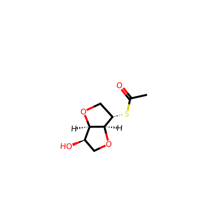 CC(=O)S[C@H]1CO[C@H]2[C@@H]1OC[C@H]2O